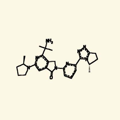 C[C@@H]1CCCN1c1cc2c(c(C(C)(C)N)n1)CN(c1cccc(-c3nnc4n3[C@@H](C)CC4)n1)C2=O